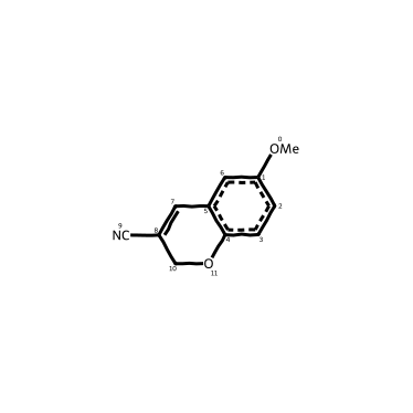 COc1ccc2c(c1)C=C(C#N)CO2